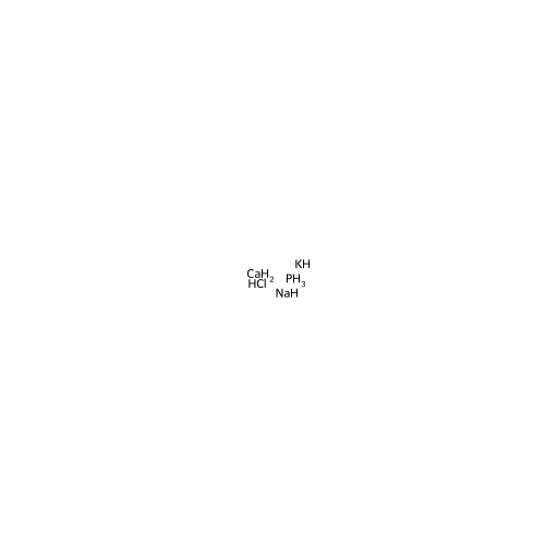 Cl.P.[CaH2].[KH].[NaH]